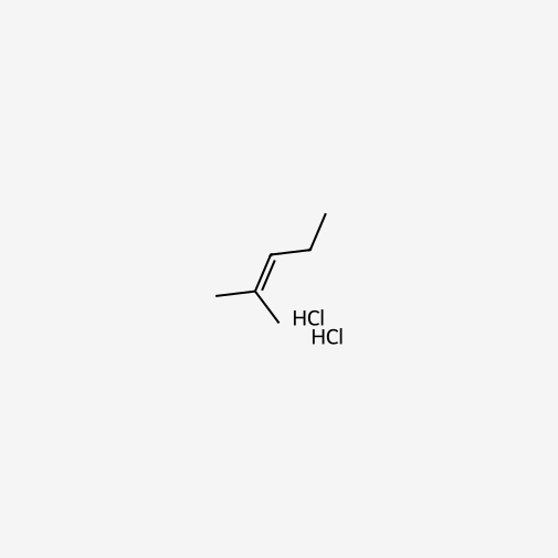 CCC=C(C)C.Cl.Cl